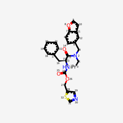 CC(C)CN(Cc1ccc2occc2c1)C(=O)[C@H](Cc1ccccc1)NC(=O)OCc1cncs1